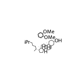 CC(C)CCCC(C)[C@H]1CC[C@H]2[C@@H]3CC=C4C[C@@H](O)CC[C@]4(C)[C@H]3CC[C@]12C.COc1ccccc1OC